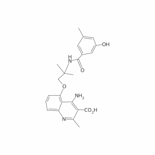 Cc1cc(O)cc(C(=O)NC(C)(C)COc2cccc3nc(C)c(C(=O)O)c(N)c23)c1